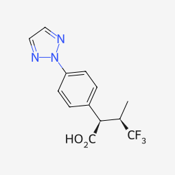 C[C@H]([C@@H](C(=O)O)c1ccc(-n2nccn2)cc1)C(F)(F)F